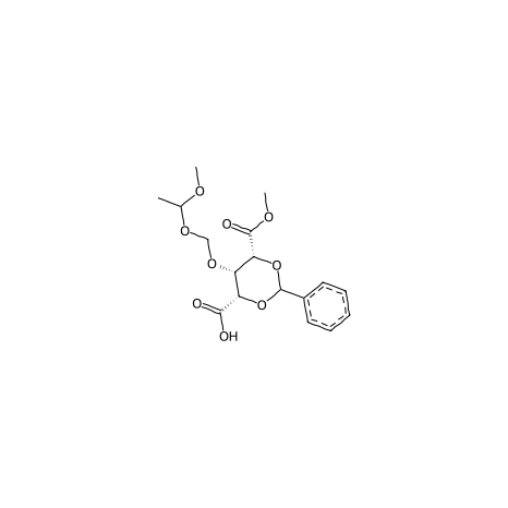 COC(=O)[C@@H]1OC(c2ccccc2)O[C@H](C(=O)O)[C@@H]1OCOC(C)OC